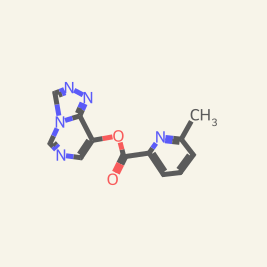 Cc1cccc(C(=O)Oc2cncn3cnnc23)n1